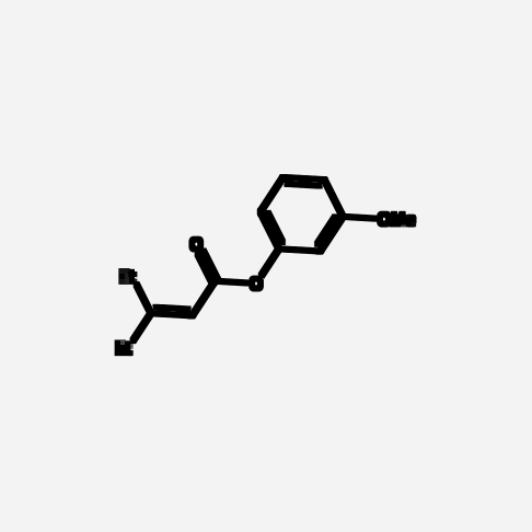 CCC(=CC(=O)Oc1cccc(OC)c1)CC